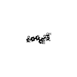 C[C@@H]1C[C@@H](C(C)(C)O)N(C(=O)c2cc3c(-c4cncc(-c5ccc(N6CCCC6=O)cc5)c4)ccnc3[nH]2)C1